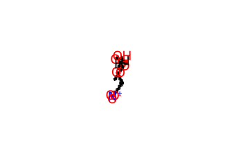 CCCC(CCCC(C)(C)CCCCCCO[N+](=O)[O-])C(=O)Oc1ccc2c(c1)OC(C)(C)[C@@H]1CC=C(C(=O)O)C[C@@H]21